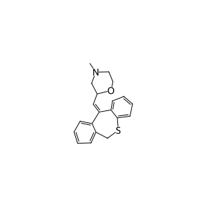 CN1CCOC(/C=C2/c3ccccc3CSc3ccccc32)C1